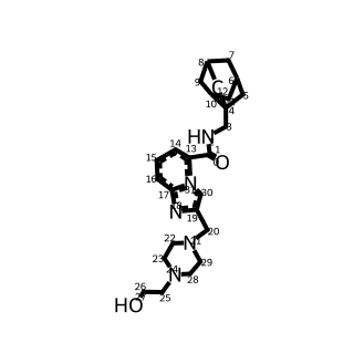 O=C(NCC12CC3CC(CC1C3)C2)c1cccc2nc(CN3CCN(CCO)CC3)cn12